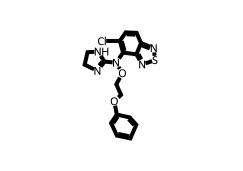 Clc1ccc2nsnc2c1N(OCCOc1ccccc1)C1=NCCN1